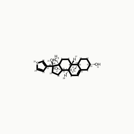 C[C@]12CC[C@H]3[C@@H](CC=C4C[C@@H](O)CC[C@@]43C)[C@@]1(O)CC[C@]2(O)c1ccsc1